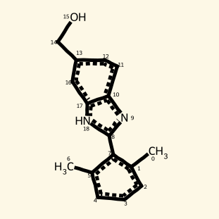 Cc1cccc(C)c1-c1nc2ccc(CO)cc2[nH]1